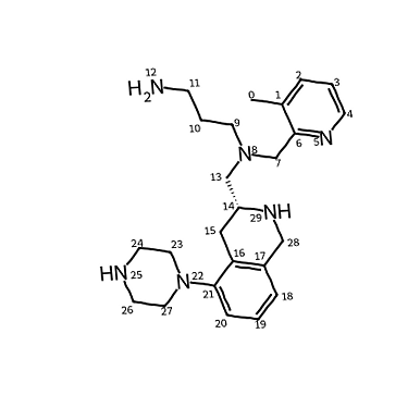 Cc1cccnc1CN(CCCN)C[C@H]1Cc2c(cccc2N2CCNCC2)CN1